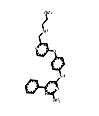 COCCNCc1cc(Oc2ccc(Nc3cc(-c4ccccc4)nc(N)n3)cc2)ccn1